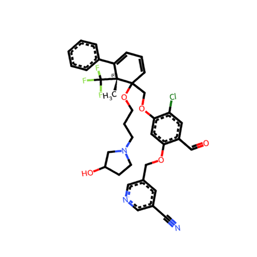 C[C@@]1(C(F)(F)F)C(c2ccccc2)=CC=CC1(COc1cc(OCc2cncc(C#N)c2)c(C=O)cc1Cl)OCCCN1CCC(O)C1